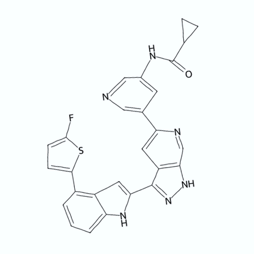 O=C(Nc1cncc(-c2cc3c(-c4cc5c(-c6ccc(F)s6)cccc5[nH]4)n[nH]c3cn2)c1)C1CC1